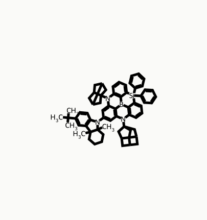 CC(C)(C)c1ccc2c(c1)C1(C)CCCCC1(C)N2c1cc2c3c(c1)N(C14CC5CC1CC5C4)c1cccc4c1B3c1c(cccc1[Si]4(c1ccccc1)c1ccccc1)N2C12CC3CC4CC(C1)C43C2